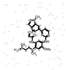 C=CC(=O)Nc1cc(Nc2nccc(-c3ccc4cnn(C)c4c3)n2)c(OC)cc1N(C)CCN(C)C